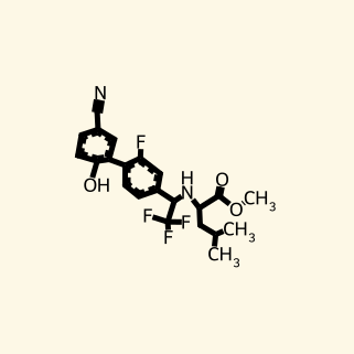 COC(=O)C(CC(C)C)NC(c1ccc(-c2cc(C#N)ccc2O)c(F)c1)C(F)(F)F